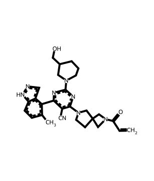 C=CC(=O)N1CC2(CCN(c3nc(N4CCCC(CO)C4)nc(-c4c(C)ccc5[nH]ncc45)c3C#N)C2)C1